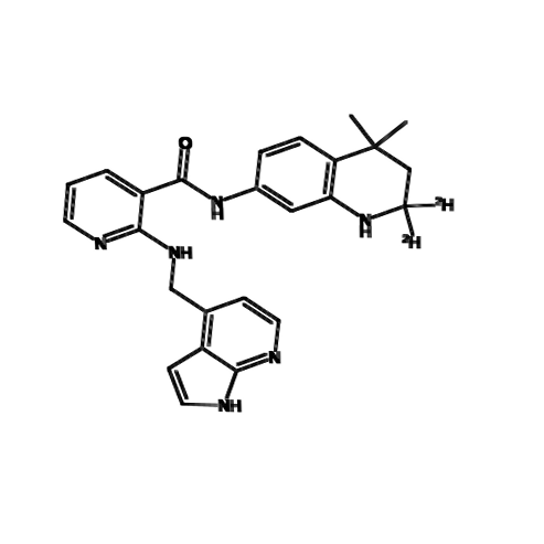 [2H]C1([2H])CC(C)(C)c2ccc(NC(=O)c3cccnc3NCc3ccnc4[nH]ccc34)cc2N1